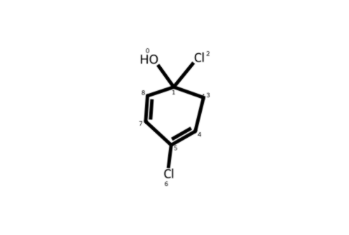 OC1(Cl)[CH]C=C(Cl)C=C1